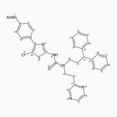 CC(=O)Nc1ccc(-c2nc(NC(=O)N(CCc3cnccn3)CCC(c3ccccc3)c3ccccc3)sc2Cl)cc1